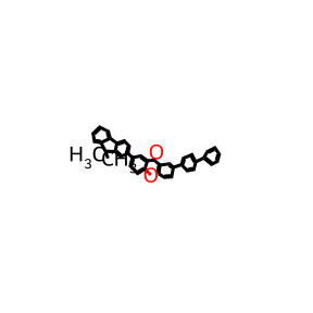 CC1(C)c2ccccc2-c2ccc(-c3ccc4oc5ccc(-c6ccc(-c7ccccc7)cc6)cc5c(=O)c4c3)cc21